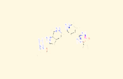 Cn1c(C(=O)NC2CC2)cc2cc(-c3cc(-c4noc(C(F)(F)F)n4)ccn3)ncc21